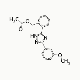 COc1cccc(-c2n[nH]c(-c3ccccc3COC(C)=O)n2)c1